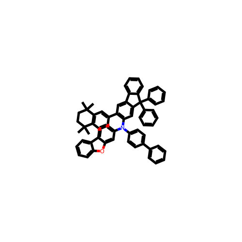 CC1(C)CCC(C)(C)c2cc(-c3cc4c(cc3N(c3ccc(-c5ccccc5)cc3)c3ccc5c(c3)oc3ccccc35)C(c3ccccc3)(c3ccccc3)c3ccccc3-4)ccc21